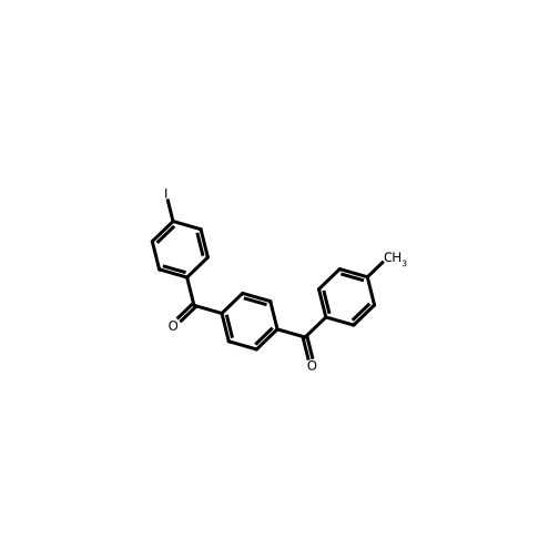 Cc1ccc(C(=O)c2ccc(C(=O)c3ccc(I)cc3)cc2)cc1